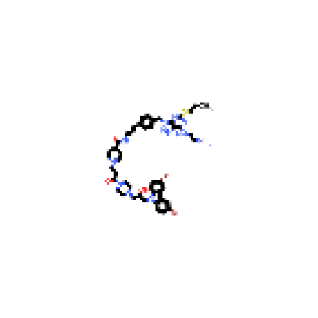 CCCSc1nc(NCCN)c2nnn(Cc3ccc(CCCNC(=O)C4CCN(CCC(=O)N5CCN(CC(O)Cn6c7ccc(Br)cc7c7cc(Br)ccc76)CC5)CC4)cc3)c2n1